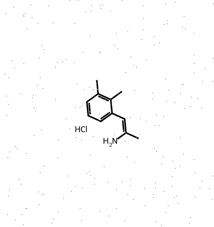 CC(N)=Cc1cccc(C)c1C.Cl